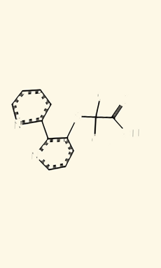 CC(C)(Sc1cccnc1-c1ccccn1)C(=O)O